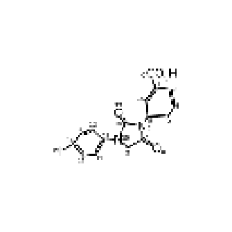 O=C(O)c1cccc(N2C(=O)CN(c3ccc(I)cc3)C2=O)c1